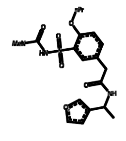 CCCOc1ccc(CC(=O)NC(C)c2ccoc2)cc1S(=O)(=O)NC(=O)NC